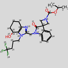 CC(C)OC(=O)N1CC2(C1)C(=O)N(Cc1nc3c(n1CCCC(F)(F)F)[C@@H](O)CCC3)c1ccccc12